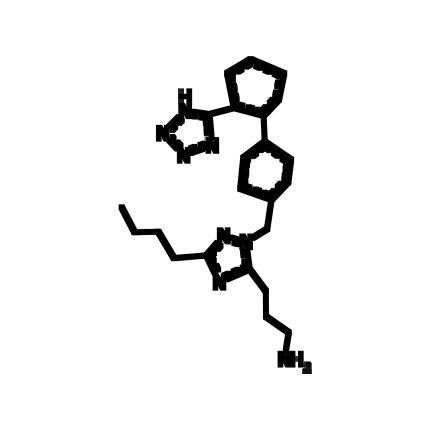 CCCCc1nc(CCCN)n(Cc2ccc(-c3ccccc3-c3nnn[nH]3)cc2)n1